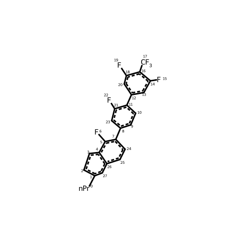 CCCc1ccc2c(F)c(-c3ccc(-c4cc(F)c(C(F)(F)F)c(F)c4)c(F)c3)ccc2c1